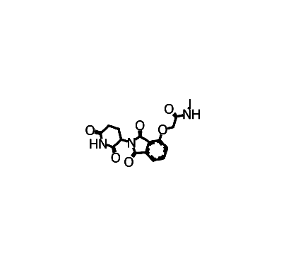 O=C(COc1cccc2c1C(=O)N(C1CCC(=O)NC1=O)C2=O)NI